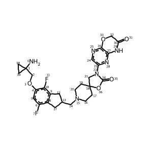 NC1(COc2cc(F)c3c(c2F)CC(CN2CCC4(CC2)CN(c2cnc5c(n2)NC(=O)CO5)C(=O)O4)C3)CC1